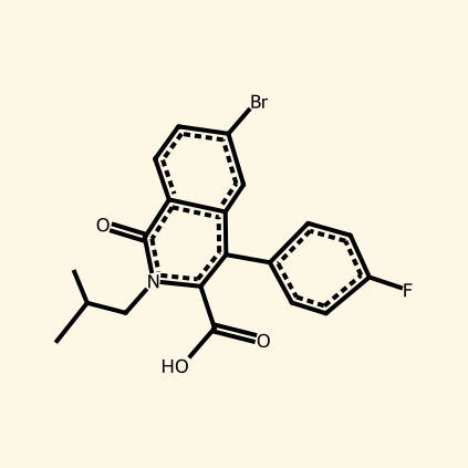 CC(C)Cn1c(C(=O)O)c(-c2ccc(F)cc2)c2cc(Br)ccc2c1=O